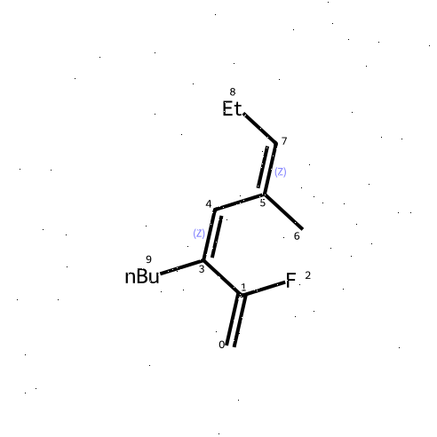 C=C(F)/C(=C\C(C)=C/CC)CCCC